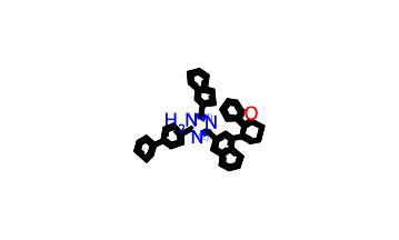 N/C(=N\C(=N/Cc1ccc(-c2ccccc2)cc1)c1cc(C2=CCCc3oc4ccccc4c32)c2ccccc2c1)c1ccc2ccccc2c1